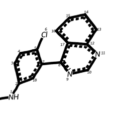 CNc1ccc(Cl)c(-c2ncnc3ccccc23)c1